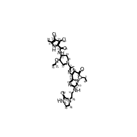 CCOC(=O)c1sc(N2CC[C@@H](NC(=O)c3[nH]c(C)c(Cl)c3Cl)[C@@H](OCC)C2)nc1-c1cnc(NCCN2CCNC2=O)cn1